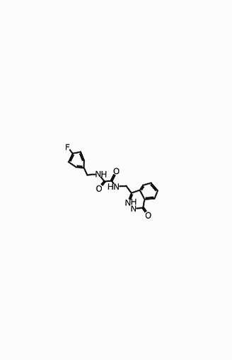 O=C(NCc1ccc(F)cc1)C(=O)NCc1n[nH]c(=O)c2ccccc12